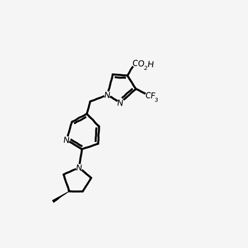 C[C@@H]1CCN(c2ccc(Cn3cc(C(=O)O)c(C(F)(F)F)n3)cn2)C1